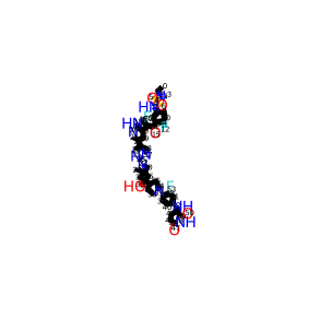 CCN(C)S(=O)(=O)Nc1ccc(F)c(C(=O)c2c[nH]c3ncc(-c4cnc(N5CC6(C5)CC(O)(C5CCN(c7ccc(NC8CCC(=O)NC8=O)cc7F)CC5)C6)nc4)cc23)c1F